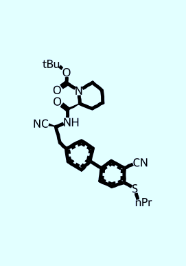 CCCSc1ccc(-c2ccc(C[C@@H](C#N)NC(=O)[C@@H]3CCCCN3C(=O)OC(C)(C)C)cc2)cc1C#N